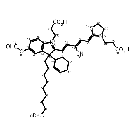 CCCCCCCCCCCCCCCCCCC1(C2C=CCCC2)C(/C=C/C(C#N)=C/C=C2\SCCN2CCC(=O)O)=[N+](CCC(=O)O)c2ccc(OC=O)cc21